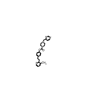 Cc1cccnc1CCc1ccc(OC(=O)N2CCN(Cc3ccncn3)CC2)cc1